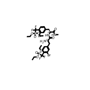 CCOP(=O)(OCC)C(F)(F)c1ccc(C[C@H](NC(=O)[C@@H](N)Cc2ccc(C(F)(F)P(=O)(OCC)OCC)c(Br)c2)C(=O)NC)cc1Br